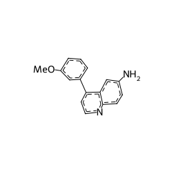 COc1cccc(-c2ccnc3ccc(N)cc23)c1